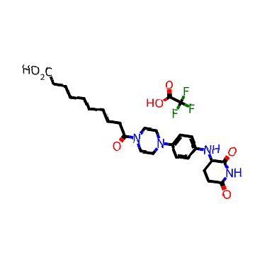 O=C(O)C(F)(F)F.O=C(O)CCCCCCCCC(=O)N1CCN(c2ccc(NC3CCC(=O)NC3=O)cc2)CC1